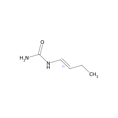 CC/C=C/NC(N)=O